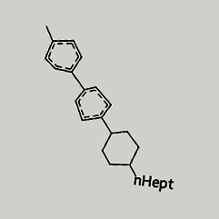 CCCCCCCC1CCC(c2ccc(-c3ccc(C)cc3)cc2)CC1